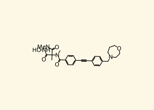 CNC(=O)C(C)(C(=O)NO)N(C)C(=O)c1ccc(C#Cc2ccc(CN3CCCOCC3)cc2)cc1